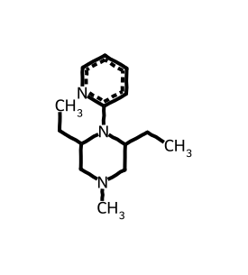 CCC1CN(C)CC(CC)N1c1ccccn1